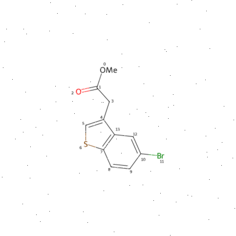 COC(=O)Cc1csc2ccc(Br)cc12